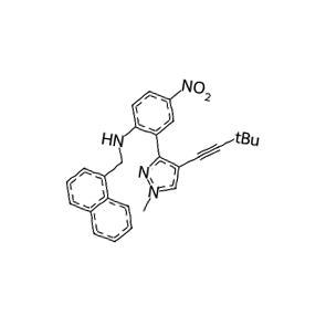 Cn1cc(C#CC(C)(C)C)c(-c2cc([N+](=O)[O-])ccc2NCc2cccc3ccccc23)n1